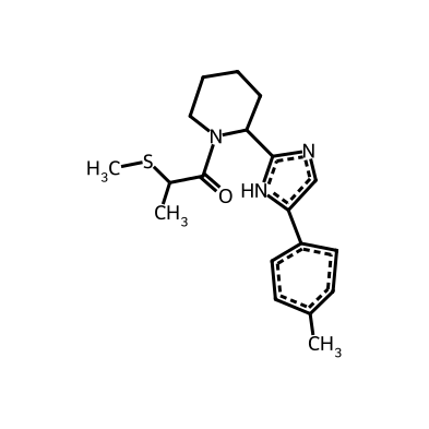 CSC(C)C(=O)N1CCCCC1c1ncc(-c2ccc(C)cc2)[nH]1